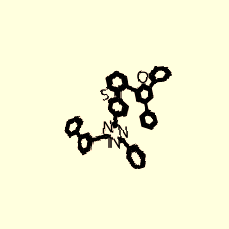 c1ccc(-c2cccc(-c3nc(-c4ccccc4)nc(-c4ccc5c(c4)sc4cccc(-c6cc(-c7ccccc7)cc7c6oc6ccccc67)c45)n3)c2)cc1